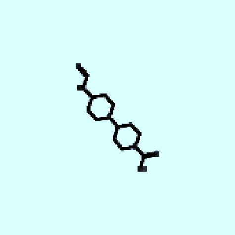 O=CNC1CCN(C2CCN(C(=O)O)CC2)CC1